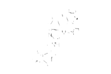 CNC(=O)c1cc(Oc2ccc3nc(NCc4cccc5c4OCCO5)sc3c2)ccn1